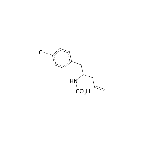 C=CCC(Cc1ccc(Cl)cc1)NC(=O)O